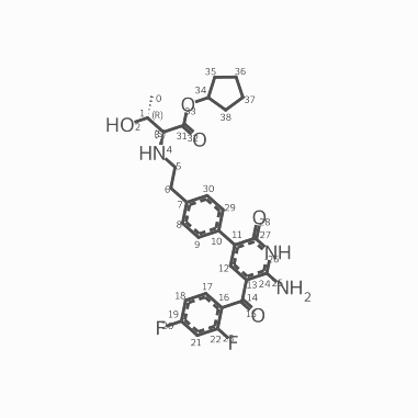 C[C@@H](O)[C@H](NCCc1ccc(-c2cc(C(=O)c3ccc(F)cc3F)c(N)[nH]c2=O)cc1)C(=O)OC1CCCC1